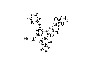 CS(=O)(=O)c1ccc(Oc2cc(C#Cc3ccccn3)c(NC(=O)O)cc2CN2CCCC2=O)cn1